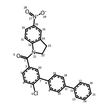 O=C(c1ccc(Cl)c(-c2ccc(-c3ccccc3)cc2)c1)N1CCc2cc([N+](=O)[O-])ccc21